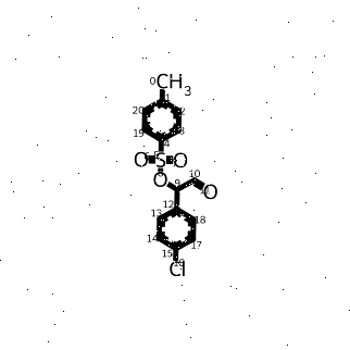 Cc1ccc(S(=O)(=O)OC(C=O)c2ccc(Cl)cc2)cc1